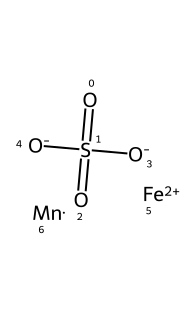 O=S(=O)([O-])[O-].[Fe+2].[Mn]